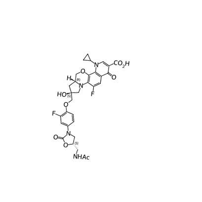 CC(=O)NC[C@H]1CN(c2ccc(OC[C@]3(O)C[C@@H]4COc5c(c(F)cc6c(=O)c(C(=O)O)cn(C7CC7)c56)N4C3)c(F)c2)C(=O)O1